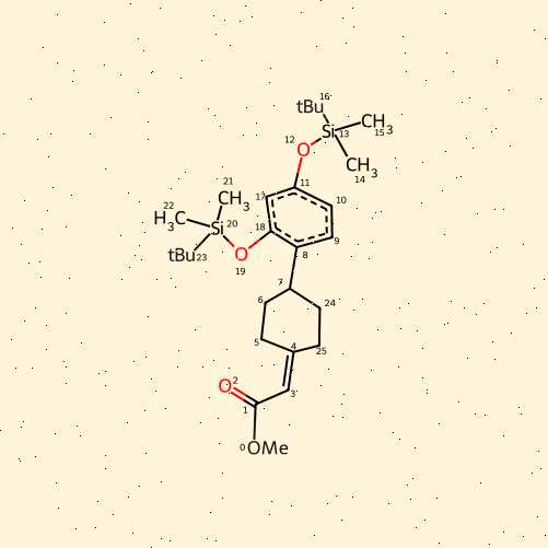 COC(=O)C=C1CCC(c2ccc(O[Si](C)(C)C(C)(C)C)cc2O[Si](C)(C)C(C)(C)C)CC1